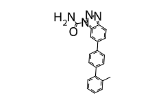 Cc1ccccc1-c1ccc(-c2ccc3nnn(C(N)=O)c3c2)cc1